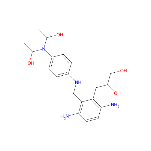 CC(O)N(c1ccc(NCc2c(N)ccc(N)c2CC(O)CO)cc1)C(C)O